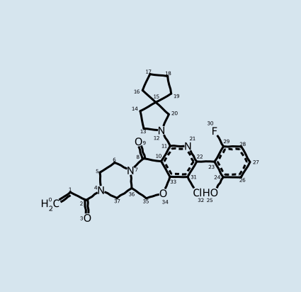 C=CC(=O)N1CCN2C(=O)c3c(N4CCC5(CCCC5)C4)nc(-c4c(O)cccc4F)c(Cl)c3OCC2C1